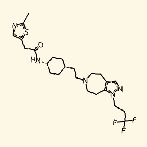 Cc1ncc(CC(=O)N[C@H]2CC[C@H](CCN3CCc4cnn(CCC(F)(F)F)c4CC3)CC2)s1